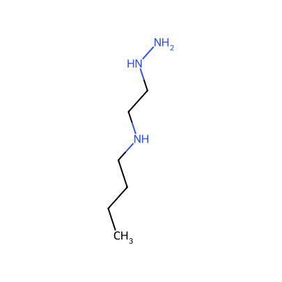 CCCCNCCNN